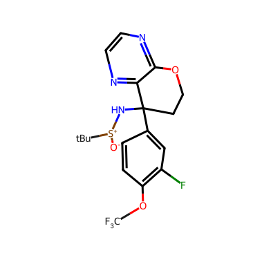 CC(C)(C)[S+]([O-])NC1(c2ccc(OC(F)(F)F)c(F)c2)CCOc2nccnc21